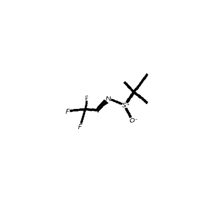 CC(C)(C)[S+]([O-])N=CC(F)(F)F